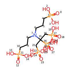 O=P(O)(O)CCCN(CCCP(=O)(O)O)C(CP(=O)(O)O)(CP(=O)(O)O)P(=O)(O)O